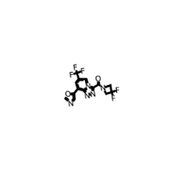 O=C(c1nnc2c(-c3cnco3)cc(C(F)(F)F)cn12)N1CC(F)(F)C1